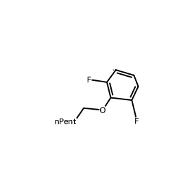 CCCCCCOc1c(F)[c]ccc1F